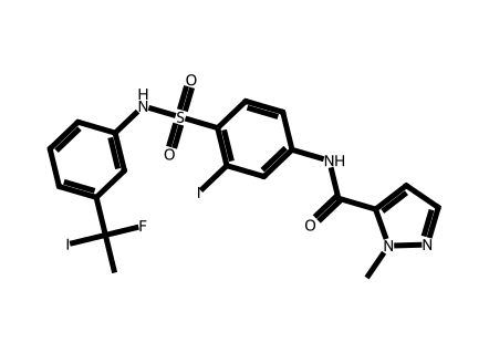 Cn1nccc1C(=O)Nc1ccc(S(=O)(=O)Nc2cccc(C(C)(F)I)c2)c(I)c1